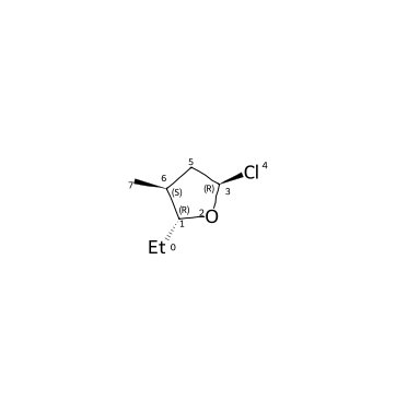 CC[C@H]1O[C@H](Cl)C[C@@H]1C